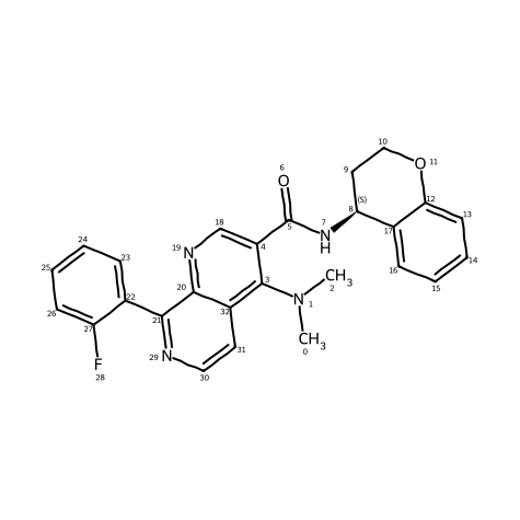 CN(C)c1c(C(=O)N[C@H]2CCOc3ccccc32)cnc2c(-c3ccccc3F)nccc12